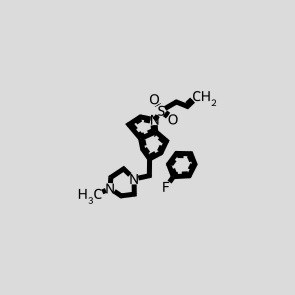 C=CCS(=O)(=O)n1ccc2cc(CN3CCN(C)CC3)ccc21.Fc1ccccc1